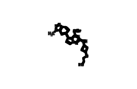 COc1nc(NC2CC(OCCO)C2)nn2ccc(-c3ccc4nnn(C)c4c3)c12